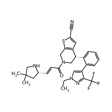 CCn1cc(-c2ccccc2[C@@H]2CN(C(=O)/C=C/[C@@H]3CC(C)(C)CN3)Cc3sc(C#N)cc32)c(C(F)(F)F)n1